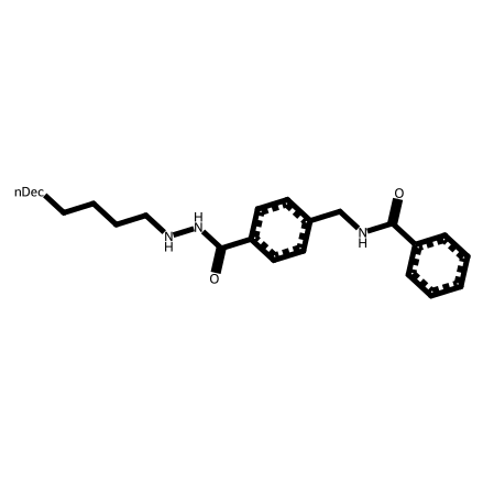 CCCCCCCCCCCCCCNNC(=O)c1ccc(CNC(=O)c2ccccc2)cc1